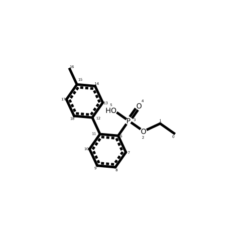 CCOP(=O)(O)c1ccccc1-c1ccc(C)cc1